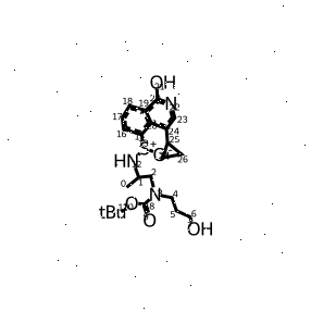 CC(CN(CCCO)C(=O)OC(C)(C)C)N[S+]([O-])c1cccc2c(O)ncc(C3CC3)c12